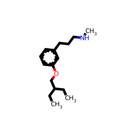 CCC(CC)COc1cccc(CCCNC)c1